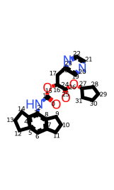 O=C(Nc1c2c(cc3c1CCC3)CCC2)OC(Cc1cnccn1)C(=O)OC1CCCC1